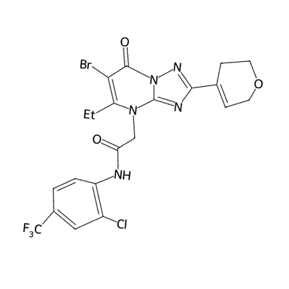 CCc1c(Br)c(=O)n2nc(C3=CCOCC3)nc2n1CC(=O)Nc1ccc(C(F)(F)F)cc1Cl